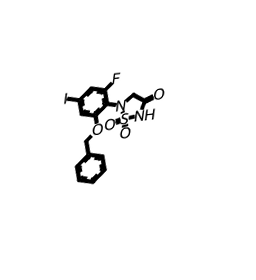 O=C1CN(c2c(F)cc(I)cc2OCc2ccccc2)S(=O)(=O)N1